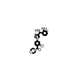 N=C(c1cn(-c2ccc(C(=O)N3CCOCC3)c(Cl)c2)nn1)c1ccccc1N